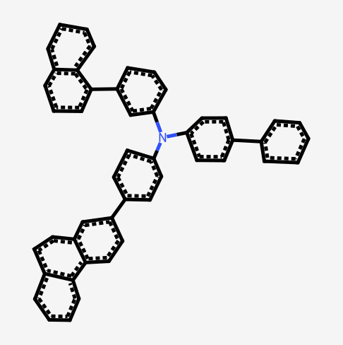 c1ccc(-c2ccc(N(c3ccc(-c4ccc5c(ccc6ccccc65)c4)cc3)c3cccc(-c4cccc5ccccc45)c3)cc2)cc1